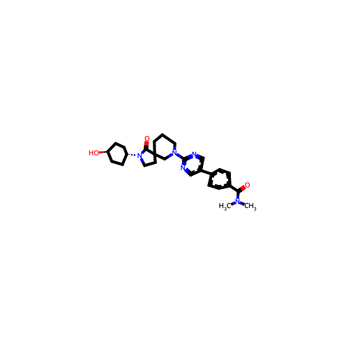 CN(C)C(=O)c1ccc(-c2cnc(N3CCCC4(CCN([C@H]5CC[C@H](O)CC5)C4=O)C3)nc2)cc1